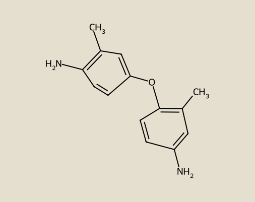 Cc1cc(Oc2ccc(N)cc2C)ccc1N